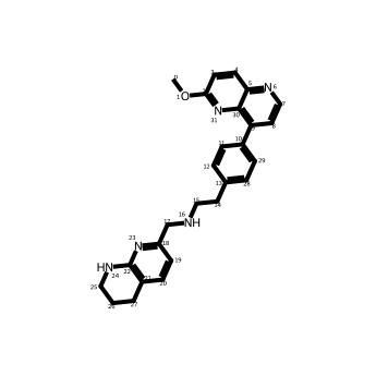 COc1ccc2nccc(-c3ccc(CCNCc4ccc5c(n4)NCCC5)cc3)c2n1